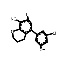 N#Cc1c(F)cc(-c2cc(O)cc(Cl)c2)c2c1OCCC2